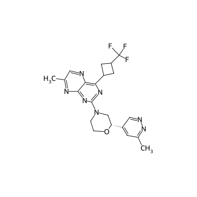 Cc1cc([C@H]2CN(c3nc(C4CC(C(F)(F)F)C4)c4ncc(C)nc4n3)CCO2)cnn1